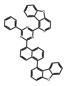 c1ccc(-c2nc(-c3cccc4c(-c5cccc6oc7ccccc7c56)cccc34)nc(-c3nccc4oc5ccccc5c34)n2)cc1